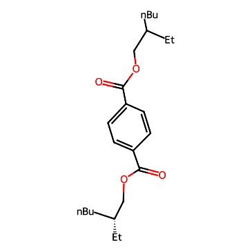 CCCCC(CC)COC(=O)c1ccc(C(=O)OC[C@H](CC)CCCC)cc1